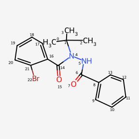 CC(C)(C)N(NC(=O)c1ccccc1)C(=O)c1ccccc1Br